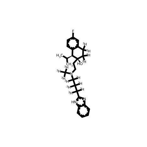 [2H]C([2H])([2H])N(CC[C@]1(O)[C@@H](C(C)C)c2ccc(F)cc2C([2H])([2H])C1([2H])[2H])C([2H])([2H])C([2H])([2H])C([2H])([2H])c1nc2ccccc2[nH]1